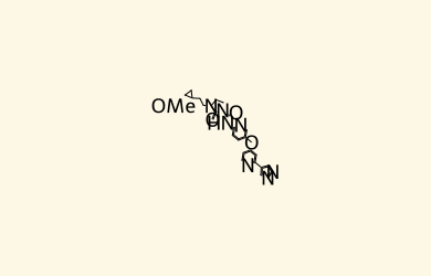 COC1(CCN2CCN(C(=O)Nc3ccc(Oc4ccnc(-c5cnn(C)c5)c4)cn3)C2=O)CC1